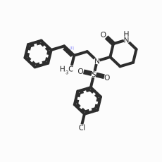 C/C(=C\c1ccccc1)CN(C1CCCNC1=O)S(=O)(=O)c1ccc(Cl)cc1